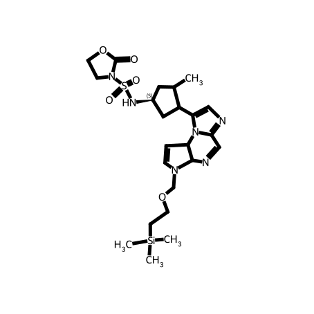 CC1C[C@H](NS(=O)(=O)N2CCOC2=O)CC1c1cnc2n1C1C=CN(COCC[Si](C)(C)C)C1N=C2